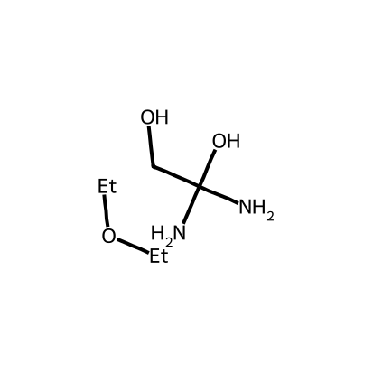 CCOCC.NC(N)(O)CO